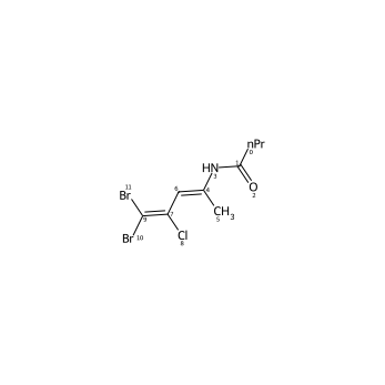 CCCC(=O)N/C(C)=C/C(Cl)=C(Br)Br